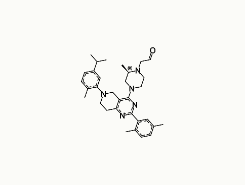 Cc1ccc(C)c(-c2nc3c(c(N4CCN(CC=O)[C@H](C)C4)n2)CN(c2cc(C(C)C)ccc2C)CC3)c1